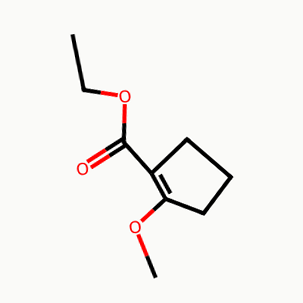 CCOC(=O)C1=C(OC)CCC1